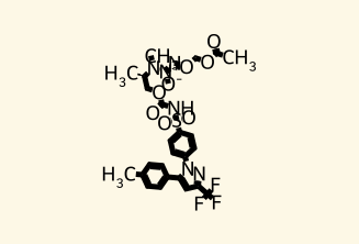 CC(=O)OCON=[N+]([O-])N(C)[C@@H](C)COC(=O)NS(=O)(=O)c1ccc(-n2nc(C(F)(F)F)cc2-c2ccc(C)cc2)cc1